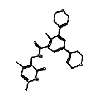 Cc1cc(C)c(CNC(=O)c2cc(C3=CCOCC3)cc(C3=CCOCC3)c2C)c(=O)[nH]1